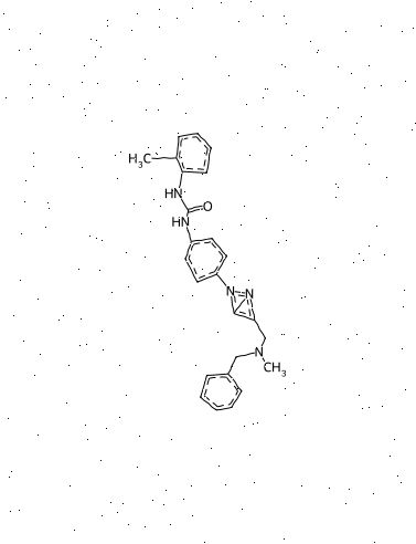 Cc1ccccc1NC(=O)Nc1ccc(-n2c3c(CN(C)Cc4ccccc4)n2-3)cc1